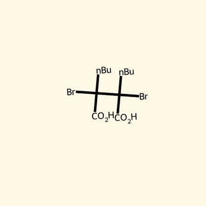 CCCCC(Br)(C(=O)O)C(Br)(CCCC)C(=O)O